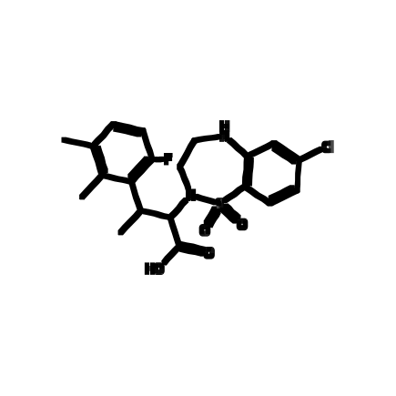 Cc1ccc(F)c(C(C)C(C(=O)O)N2CCNc3cc(Cl)ccc3S2(=O)=O)c1C